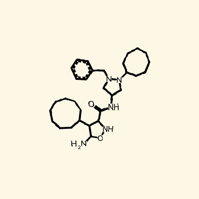 NC1ONC(C(=O)NC2CN(Cc3ccccc3)N(C3CCCCCCC3)C2)C1C1CCCCCCCC1